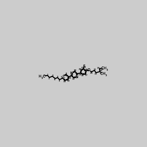 CCCCCCCc1ccc(-c2cnc(-c3ccc(OCCCC(C)CC)c(F)c3)cn2)cc1